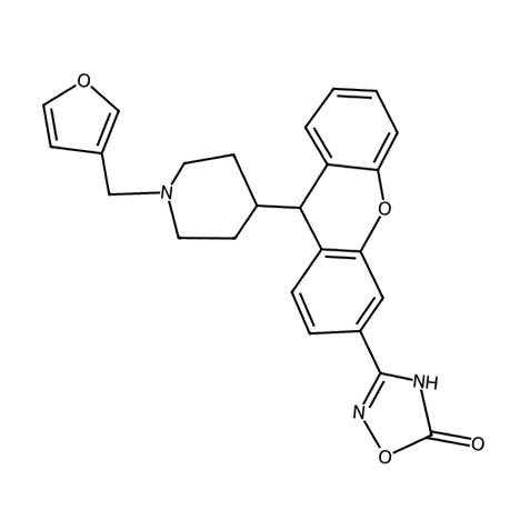 O=c1[nH]c(-c2ccc3c(c2)Oc2ccccc2C3C2CCN(Cc3ccoc3)CC2)no1